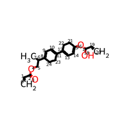 C=CC(=O)OCC(C)C1=CC=C(C2=CC=C(OC(O)C=C)CC2)CC1